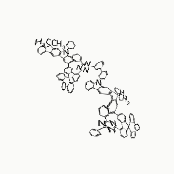 CC1(C)c2cc(-c3ccc4c(c3)-c3c(-c5nc(-c6ccccc6)nc(-c6ccccc6)n5)cccc3C43c4ccccc4Oc4ccccc43)ccc2-c2cc3c4ccccc4n(-c4cccc(-c5cccc(-c6nc(-c7ccccc7)nc(-c7cccc8c7-c7cc(-c9ccc%10c(c9)c9cc%11c(cc9n%10-c9ccccc9)C(C)(C)c9ccccc9-%11)ccc7C87c8ccccc8Oc8ccccc87)n6)c5)c4)c3cc21